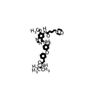 COc1cc2ncnc(Nc3ccc(Oc4cccc(CC(=O)NC(C)(C)C)c4)cc3F)c2cc1NC(=O)/C=C/CN1CCOCC1